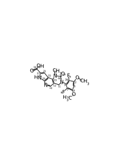 COc1cc(OC)c(F)c(N2Cc3cnc4[nH]c(C(=O)O)cc4c3N(C)C2=O)c1F